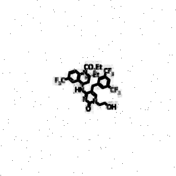 CCOC(=O)N1c2ccc(C(F)(F)F)cc2[C@@H](Nc2nc(=O)n(CCO)cc2Cc2cc(C(F)(F)F)cc(C(F)(F)F)c2)C[C@H]1CC